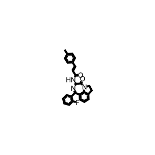 Cc1ccc(/C=C/C(=O)NC2N=C(c3ccccc3F)c3cccc4c3N(CC4)C2=O)cc1